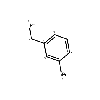 C[C](C)Cc1cccc(C(C)C)c1